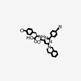 N#Cc1ccc(-c2nc(C(=O)N[C@H](Cc3ccc(Cl)cc3)C(=O)O)cc(N3CCc4ccccc4C3)n2)cc1